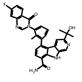 Cc1c(-c2ccc(C(N)=O)c3[nH]c4cnc(C(C)(C)O)cc4c23)cccc1-n1cnc2cc(F)ccc2c1=O